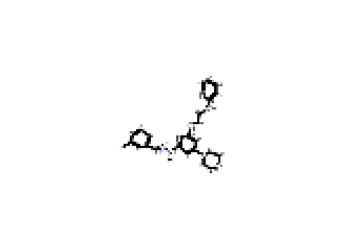 Cc1cccc(/C=N/Nc2cc(N3CCOCC3)cc(OCCNc3ccccn3)n2)c1